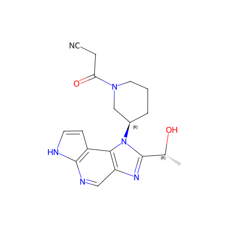 C[C@@H](O)c1nc2cnc3[nH]ccc3c2n1[C@@H]1CCCN(C(=O)CC#N)C1